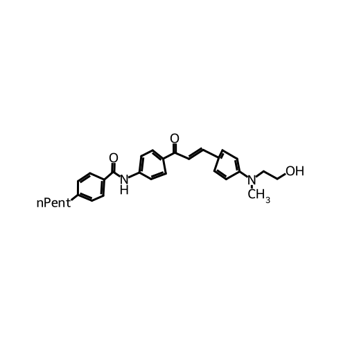 CCCCCc1ccc(C(=O)Nc2ccc(C(=O)/C=C/c3ccc(N(C)CCO)cc3)cc2)cc1